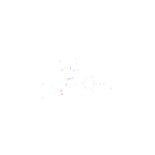 C[C@H](Nc1cc(C(F)(F)F)c(-c2sc(C(=O)N[C@@H]3COC[C@H]3O)nc2C(=O)N2[C@H]3CC[C@H]2CC3)cn1)C(F)(F)F